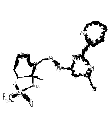 Cc1cc(N=NC2=CC=CCC2(C)NS(=O)(=O)C(F)(F)F)nc(-c2ccccn2)n1